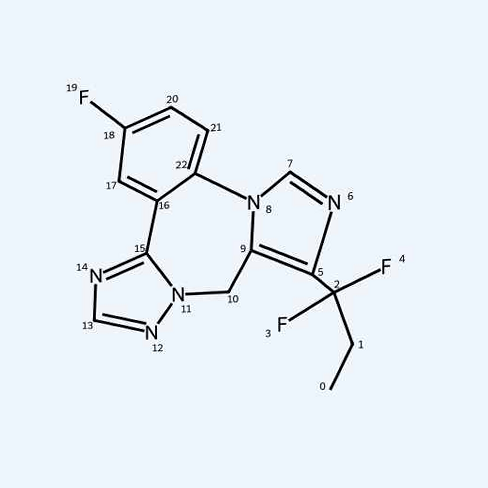 CCC(F)(F)c1ncn2c1Cn1ncnc1-c1cc(F)ccc1-2